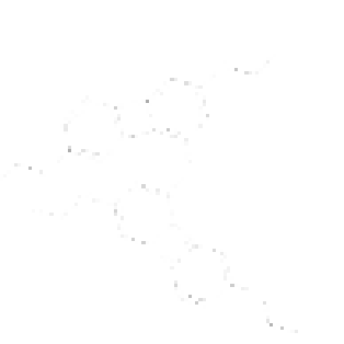 CCOc1ccc2c(c1)-c1c(Oc3cc(OCC)cc4c3=c3cc(OCC)ccc3=4)cc(OCC)cc1-2